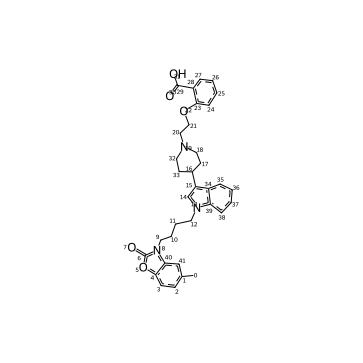 Cc1ccc2oc(=O)n(CCCCn3cc(C4CCN(CCOc5ccccc5C(=O)O)CC4)c4ccccc43)c2c1